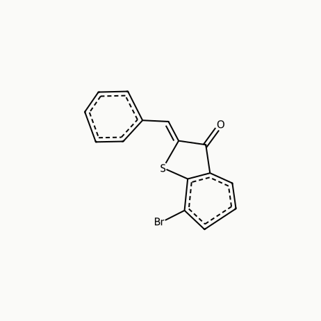 O=C1/C(=C/c2ccccc2)Sc2c(Br)cccc21